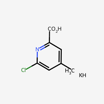 Cc1cc(Cl)nc(C(=O)O)c1.[KH]